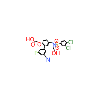 N#Cc1cc(F)cc(-c2cc(CN(CCO)S(=O)(=O)c3ccc(Cl)c(Cl)c3)ccc2OCC(=O)O)c1